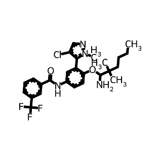 CCCCC(C)(C)C(N)Oc1ccc(NC(=O)c2cccc(C(F)(F)F)c2)cc1-c1c(Cl)cnn1C